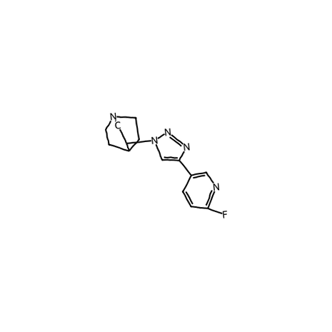 Fc1ccc(-c2cn(C3CN4CCC3CC4)nn2)cn1